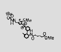 COC(=O)CCCCC(=O)Nc1cccc(C)c1-c1cccc(S(=O)(=O)c2cc(C=NNC(=O)OC(C)(C)C)sc2SC)c1